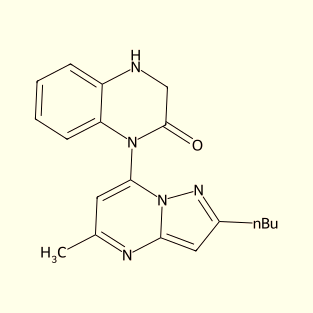 CCCCc1cc2nc(C)cc(N3C(=O)CNc4ccccc43)n2n1